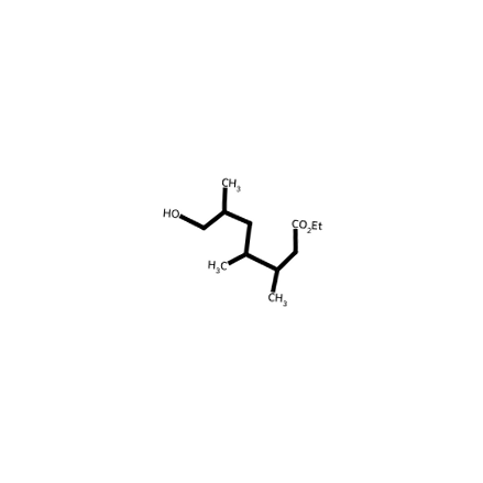 CCOC(=O)CC(C)C(C)CC(C)CO